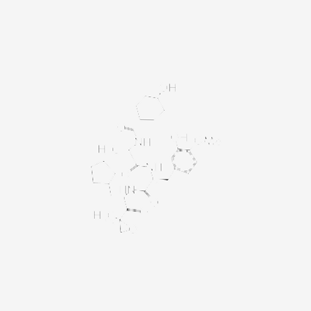 COc1ccc(C[C@H](NC(=O)[C@H](C)NC(=O)[C@H]2CC[C@H](O)CC2)C(=O)N[C@@H](CC2CCCC2)C(=O)[C@@]2(C)CO2)cc1O